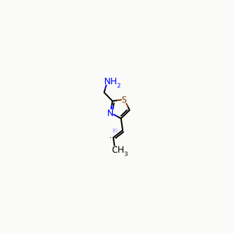 C/[C]=C/c1csc(CN)n1